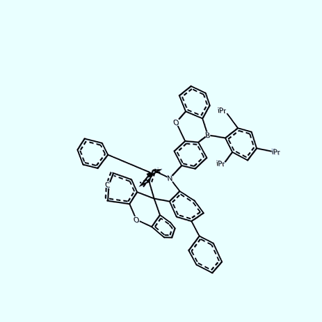 CC(C)c1cc(C(C)C)c(B2c3ccccc3Oc3cc(N4c5ccc(-c6ccccc6)cc5C5(c6ccccc6Oc6ccccc65)c5cc(-c6ccccc6)ccc54)ccc32)c(C(C)C)c1